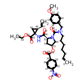 C=CCCCCCN(Cc1ccc(OC)cc1)C(=O)N1C[C@@H](OC(=O)c2ccc([N+](=O)[O-])cc2)C[C@H]1C(=O)N[C@]1(C(=O)OCC)C[C@H]1C=C